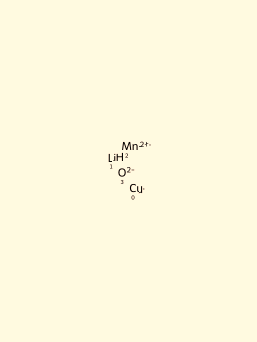 [Cu].[LiH].[Mn+2].[O-2]